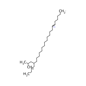 [CH2]CCCC/C=C/CCCCCCCCCCCCCC(CCC[CH2])CC(C)C